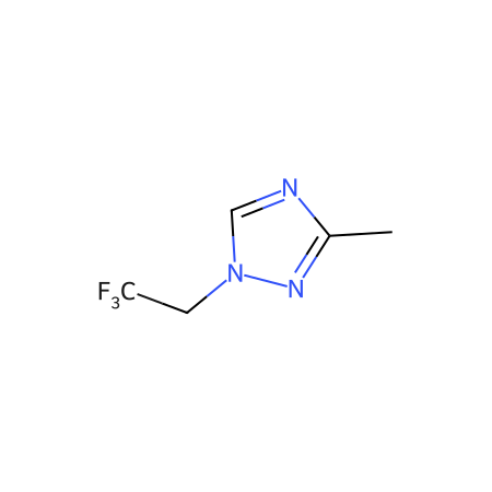 Cc1ncn(CC(F)(F)F)n1